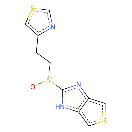 [O-][S+](CCc1cscn1)c1nc2cscc2[nH]1